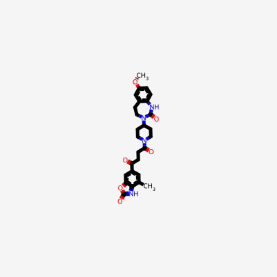 COc1ccc2c(c1)CCN(C1CCN(C(=O)CCC(=O)c3cc(C)c4[nH]c(=O)oc4c3)CC1)C(=O)N2